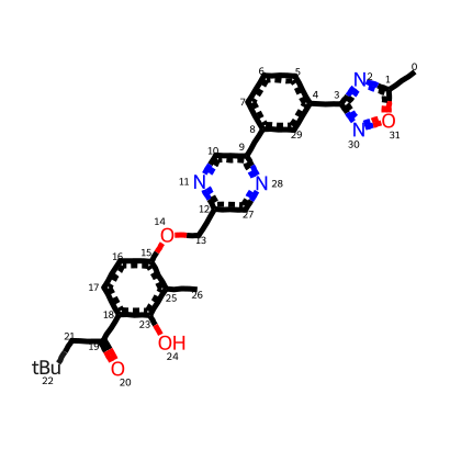 Cc1nc(-c2cccc(-c3cnc(COc4ccc(C(=O)CC(C)(C)C)c(O)c4C)cn3)c2)no1